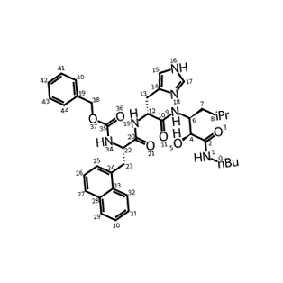 CCCCNC(=O)[C@@H](O)[C@H](CC(C)C)NC(=O)[C@@H](Cc1c[nH]cn1)NC(=O)[C@H](Cc1cccc2ccccc12)NC(=O)OCc1ccccc1